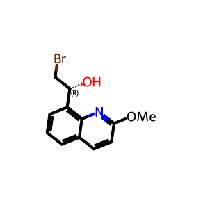 COc1ccc2cccc([C@@H](O)CBr)c2n1